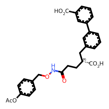 CC(=O)Oc1ccc(CONC(=O)CC[C@H](Cc2cccc(-c3cccc(C(=O)O)c3)c2)C(=O)O)cc1